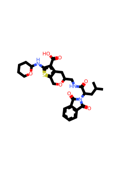 CC(C)CC(C(=O)NCC1Cc2c(sc(NC3CCCCO3)c2C(=O)O)CO1)N1C(=O)c2ccccc2C1=O